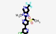 CCS(=O)(=O)c1cc(-c2cc(Cl)ccn2)cnc1-c1nc2cc(C(F)(F)F)ncc2n1C